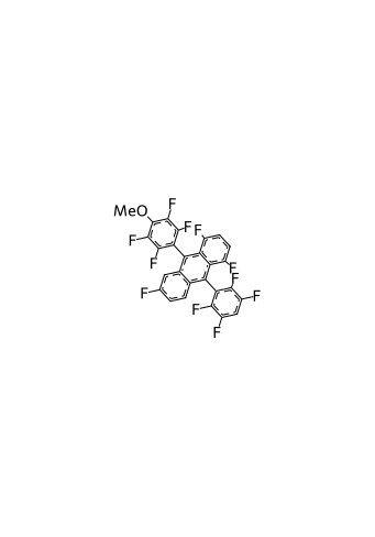 COc1c(F)c(F)c(-c2c3cc(F)ccc3c(-c3c(F)c(F)cc(F)c3F)c3c(F)ccc(F)c23)c(F)c1F